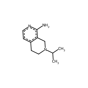 CC(C)N1CCc2ccnc(N)c2C1